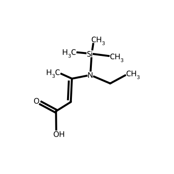 CCN(C(C)=CC(=O)O)[Si](C)(C)C